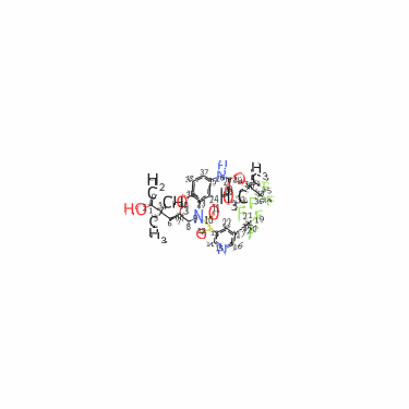 C=C(O)C(C)(C)C[C@@H]1CN(S(=O)(=O)c2cncc(C(F)(F)F)c2)c2cc(NC(=O)OC(C)(C)C(F)(F)F)ccc2O1